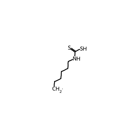 [CH2]CCCCCNC(=S)S